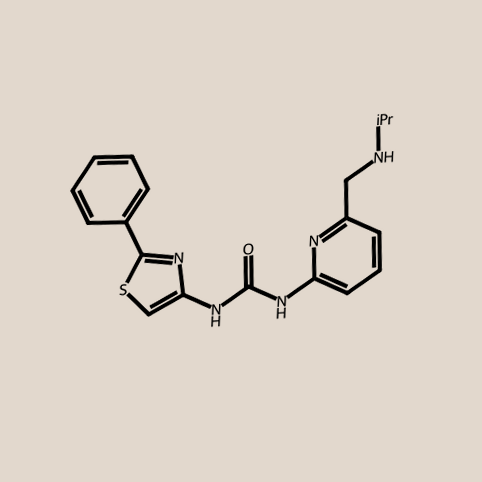 CC(C)NCc1cccc(NC(=O)Nc2csc(-c3ccccc3)n2)n1